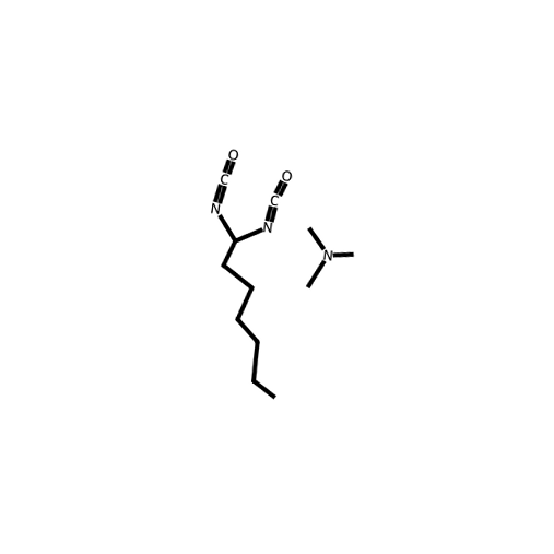 CCCCCCC(N=C=O)N=C=O.CN(C)C